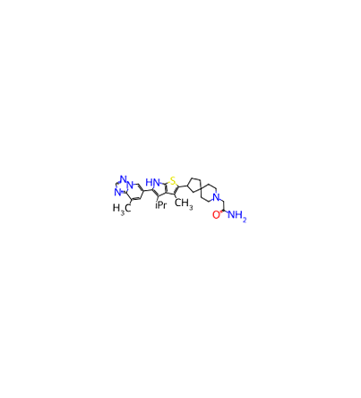 Cc1c(C2CCC3(CCN(CC(N)=O)CC3)C2)sc2[nH]c(-c3cc(C)c4ncnn4c3)c(C(C)C)c12